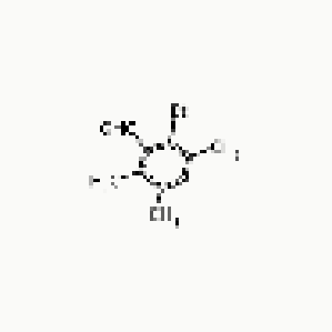 CCc1c(C)cc(C)c(C)c1C=O